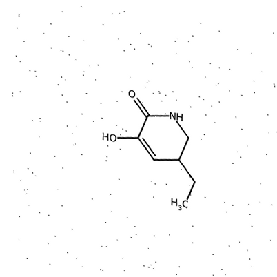 CCC1C=C(O)C(=O)NC1